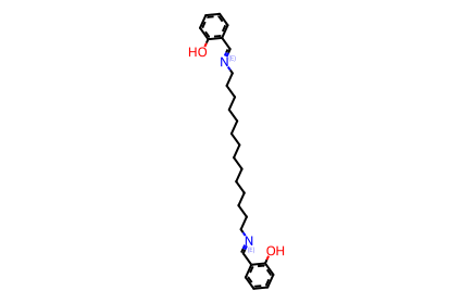 Oc1ccccc1/C=N/CCCCCCCCCCCCCC/N=C/c1ccccc1O